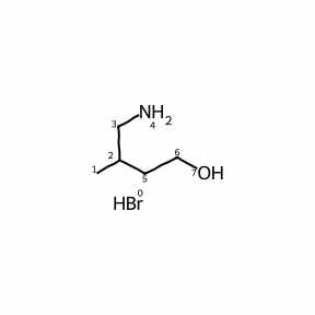 Br.CC(CN)CCO